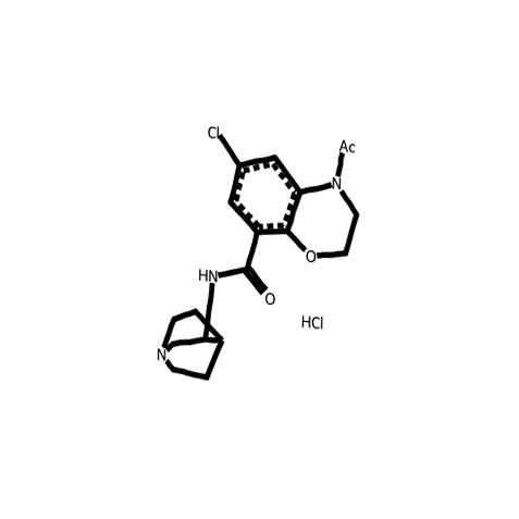 CC(=O)N1CCOc2c(C(=O)NC3CN4CCC3CC4)cc(Cl)cc21.Cl